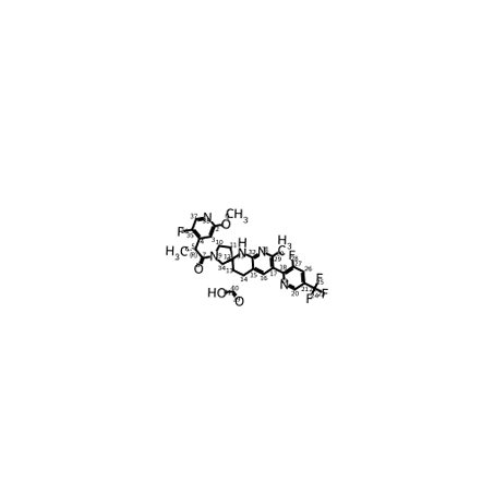 COc1cc([C@@H](C)C(=O)N2CC[C@@]3(CCc4cc(-c5ncc(C(F)(F)F)cc5F)c(C)nc4N3)C2)c(F)cn1.O=CO